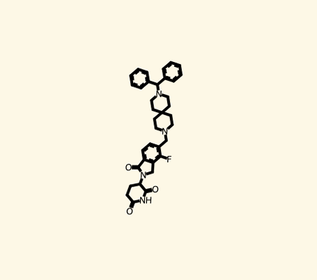 O=C1CCC(N2Cc3c(ccc(CN4CCC5(CC4)CCN(C(c4ccccc4)c4ccccc4)CC5)c3F)C2=O)C(=O)N1